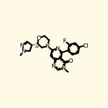 CN1CC([C@H]2CN(c3cc4ncn(C)c(=O)c4c(-c4ccc(Cl)cc4F)n3)CCO2)C=N1